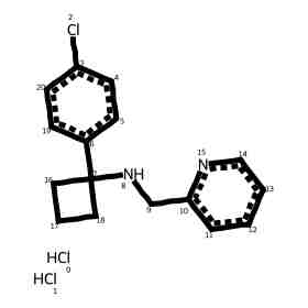 Cl.Cl.Clc1ccc(C2(NCc3ccccn3)CCC2)cc1